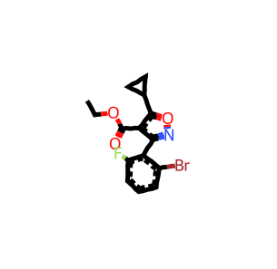 CCOC(=O)c1c(-c2c(F)cccc2Br)noc1C1CC1